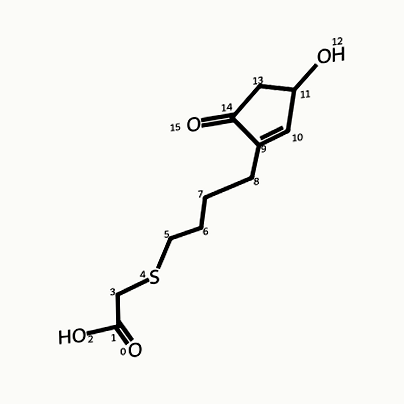 O=C(O)CSCCCCC1=CC(O)CC1=O